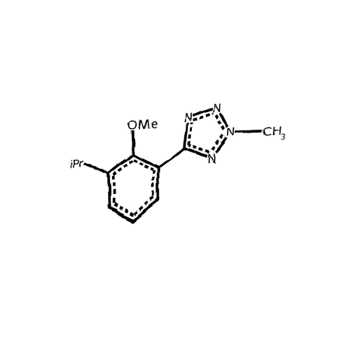 COc1c(-c2nnn(C)n2)cccc1C(C)C